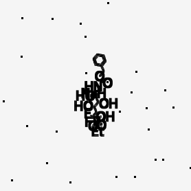 CCOP(=O)(O)C(F)(F)C[C@@H](O)[C@@H](O)[C@@H](O)CNC(=O)OCc1ccccc1.[NaH]